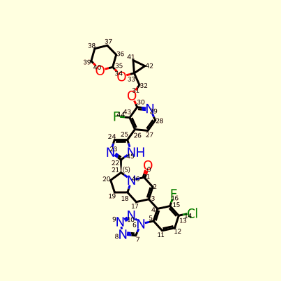 O=C1C=C(c2c(-n3cnnn3)ccc(Cl)c2F)CC2CC[C@@H](c3ncc(-c4ccnc(OCC5(OC6CCCCO6)CC5)c4F)[nH]3)N12